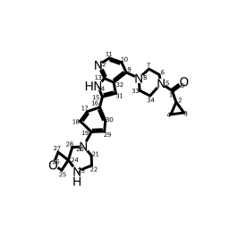 O=C(C1CC1)N1CCN(c2ccnc3[nH]c(-c4ccc(N5CCNC6(COC6)C5)cc4)cc23)CC1